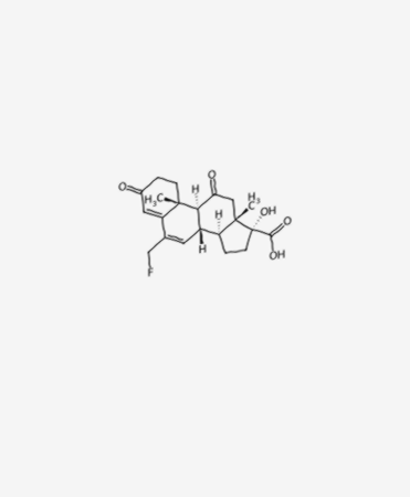 C[C@]12CCC(=O)C=C1C(CF)=C[C@@H]1[C@@H]2C(=O)C[C@@]2(C)[C@H]1CC[C@]2(O)C(=O)O